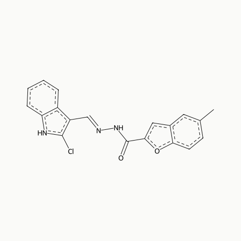 Cc1ccc2oc(C(=O)N/N=C/c3c(Cl)[nH]c4ccccc34)cc2c1